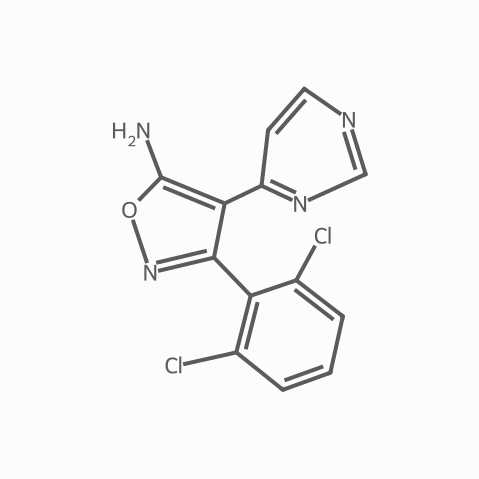 Nc1onc(-c2c(Cl)cccc2Cl)c1-c1ccncn1